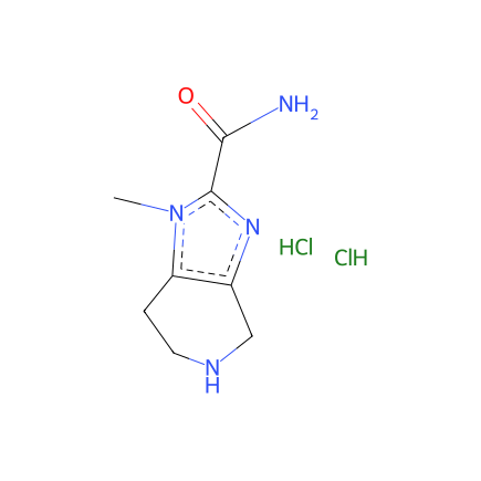 Cl.Cl.Cn1c(C(N)=O)nc2c1CCNC2